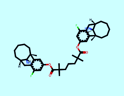 CC(C)(CCCC(C)(C)C(=O)Oc1cc(F)c2c(c1)[C@@]1(C)CCCCC[C@@H](C2)[C@@H]1N)C(=O)Oc1cc(F)c2c(c1)[C@@]1(C)CCCCC[C@@H](C2)[C@@H]1N